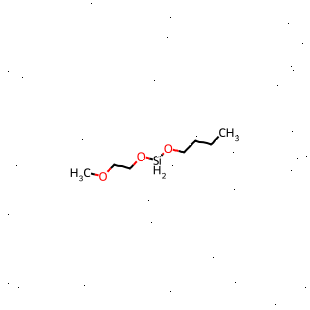 CCCCO[SiH2]OCCOC